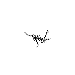 CC[CH]CCCCCC(CCCCCC)CCC(CO)COC(=O)CCC(OCCCC/C=C\CC)OCCCC/C=C\CC